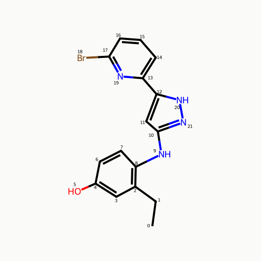 CCc1cc(O)ccc1Nc1cc(-c2cccc(Br)n2)[nH]n1